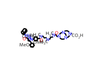 COc1cccc(OC)c1-c1cc(C(=O)NC2(C(=O)O)C3CC4CC(C3)CC2C4)nn1-c1ccc(C(=O)N(C)CCCN(C)CCCN(C)C(=O)CN2CCCN3CCN(CCCN(CC(=O)O)CC3)CC2)cc1C(C)C